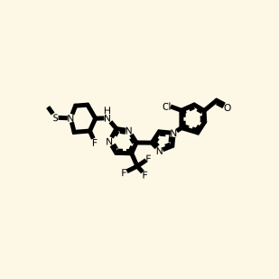 CSN1CCC(Nc2ncc(C(F)(F)F)c(-c3cn(-c4ccc(C=O)cc4Cl)cn3)n2)C(F)C1